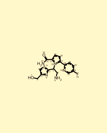 NCC(c1nc(CO)cs1)n1c(C(N)=O)ccc1-c1ccc(F)cn1